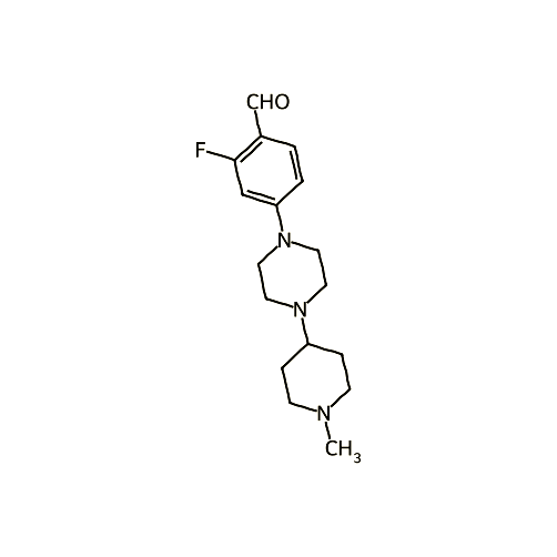 CN1CCC(N2CCN(c3ccc(C=O)c(F)c3)CC2)CC1